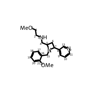 COCCNCC1CC(c2cccnc2)N1Cc1ccccc1OC